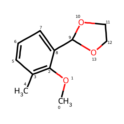 COc1c(C)cccc1C1OCCO1